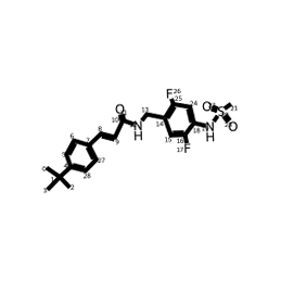 CC(C)(C)c1ccc(C=CC(=O)NCc2cc(F)c(NS(C)(=O)=O)cc2F)cc1